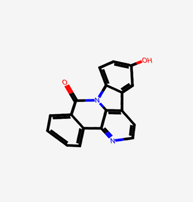 O=c1c2ccccc2c2nccc3c4cc(O)ccc4n1c32